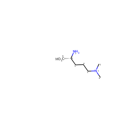 CN(C)CCC[C@@H](N)C(=O)O